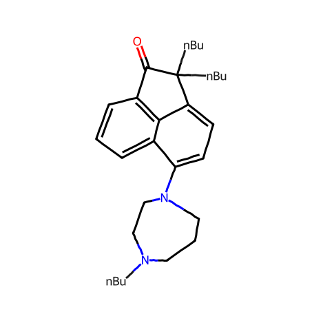 CCCCN1CCCN(c2ccc3c4c(cccc24)C(=O)C3(CCCC)CCCC)CC1